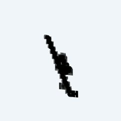 CCCCCCCCCCCCCCCCCCCCNCCO.C[N+](C)(C)CCOP(=O)(O)O